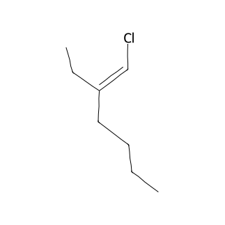 CCCCC(=CCl)CC